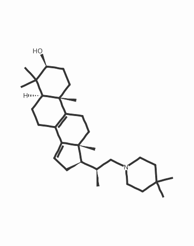 C[C@H](CN1CCC(C)(C)CC1)[C@H]1CC=C2C3=C(CC[C@@]21C)[C@@]1(C)CC[C@H](O)C(C)(C)[C@@H]1CC3